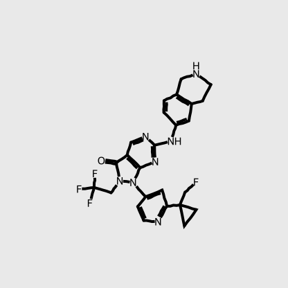 O=c1c2cnc(Nc3ccc4c(c3)CCNC4)nc2n(-c2ccnc(C3(CF)CC3)c2)n1CC(F)(F)F